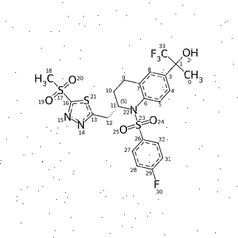 CC(O)(c1ccc2c(c1)CC[C@@H](Cc1nnc(S(C)(=O)=O)s1)N2S(=O)(=O)c1ccc(F)cc1)C(F)(F)F